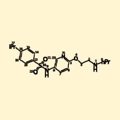 CCCNCCOc1ccc(NS(=O)(=O)c2ccc(C(C)C)cc2)cn1